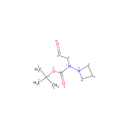 CC(C)(C)OC(=O)N(C[C]=O)N1CCC1